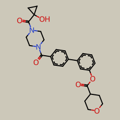 O=C(Oc1cccc(-c2ccc(C(=O)N3CCN(C(=O)C4(O)CC4)CC3)cc2)c1)C1CCOCC1